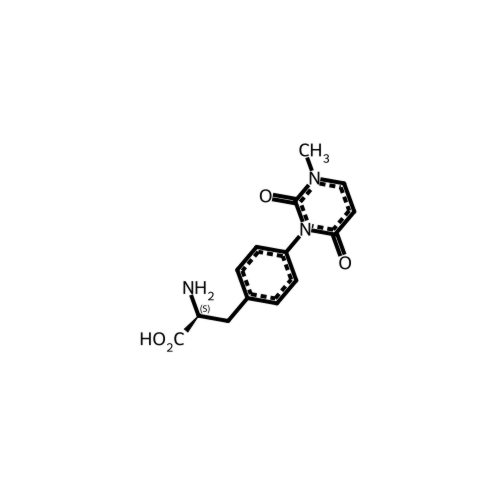 Cn1ccc(=O)n(-c2ccc(C[C@H](N)C(=O)O)cc2)c1=O